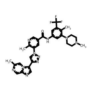 Cc1cn2c(-c3cn(-c4cc(C(=O)Nc5cc(N6CCN(C)CC6)c(C)c(C(F)(F)F)c5)cnc4C)nn3)cnc2cn1